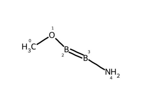 COB=BN